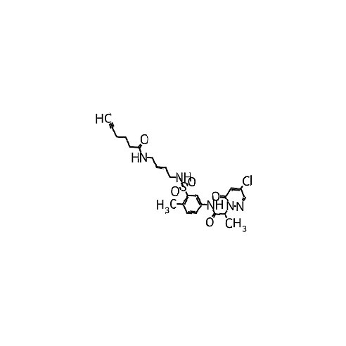 C#CCCCC(=O)NCCCCNS(=O)(=O)c1cc(NC(=O)[C@H](C)n2ncc(Cl)cc2=O)ccc1C